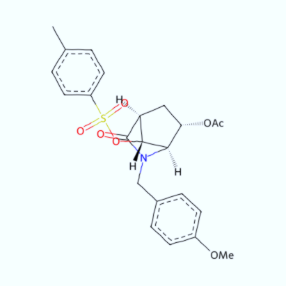 COc1ccc(CN2C(=O)[C@H]3C[C@H](OC(C)=O)[C@@H]2[C@@H]3OS(=O)(=O)c2ccc(C)cc2)cc1